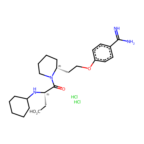 Cl.Cl.N=C(N)c1ccc(OCC[C@H]2CCCCN2C(=O)[C@H](CC(=O)O)NC2CCCCC2)cc1